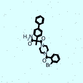 CC(C(N)=O)(C(=O)N1CCN(C(=O)c2ccccc2Br)CC1)c1ccc(-c2ccccc2)cc1